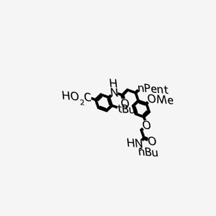 CCCCCC(CC(=O)Nc1cc(C(=O)O)ccc1C(C)(C)C)c1ccc(OCC(=O)NCCCC)cc1OC